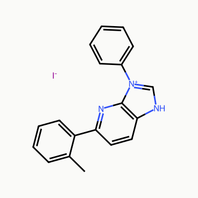 Cc1ccccc1-c1ccc2[nH]c[n+](-c3ccccc3)c2n1.[I-]